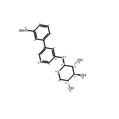 COc1cccc(-c2cncc(O[C@@H]3SC[C@@H](O)[C@H](O)[C@H]3O)c2)c1